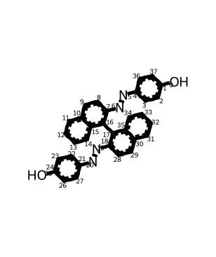 Oc1ccc(N=Nc2ccc3ccccc3c2-c2c(N=Nc3ccc(O)cc3)ccc3ccccc23)cc1